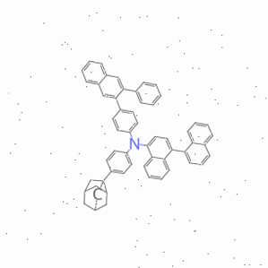 c1ccc(-c2cc3ccccc3cc2-c2ccc(N(c3ccc(C45CC6CC(CC4C6)C5)cc3)c3ccc(-c4cccc5ccccc45)c4ccccc34)cc2)cc1